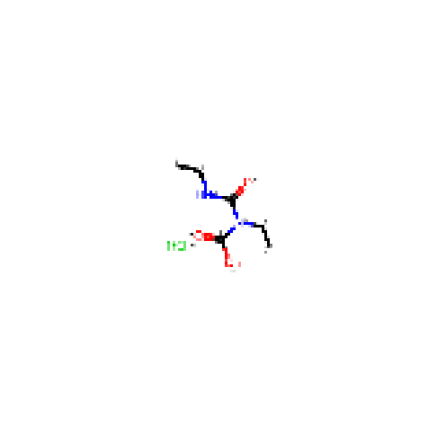 CCNC(=O)N(CC)C(=O)O.Cl